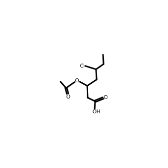 CCC(Cl)CC(CC(=O)O)OC(C)=O